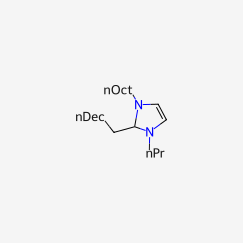 CCCCCCCCCCCC1N(CCC)C=CN1CCCCCCCC